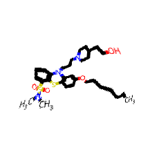 CCCCCCCOc1ccc2c(c1)N(CCCN1CCC(CCO)CC1)c1cccc(S(=O)(=O)N(C)C)c1S2